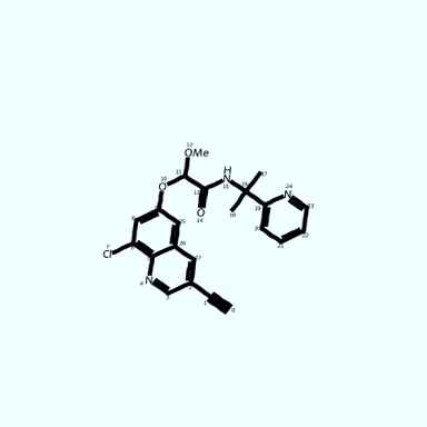 C#Cc1cnc2c(Cl)cc(OC(OC)C(=O)NC(C)(C)c3ccccn3)cc2c1